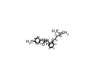 Cc1cnc(NC(=O)Nc2ccccc2OCCCN(C)C)cn1